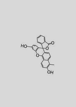 Cc1c(O)ccc2c3c(ccc12)C1(OC(=O)c2ccccc21)c1ccc(O)cc1O3